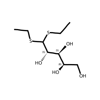 CCSC(SCC)[C@@H](O)[C@@H](O)[C@H](O)CO